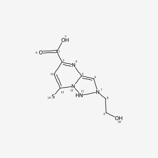 O=C(O)C1=NC2=CN(CCO)NN2C([S])=C1